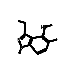 CCc1nn(C)c2ccc(C)c(NC)c12